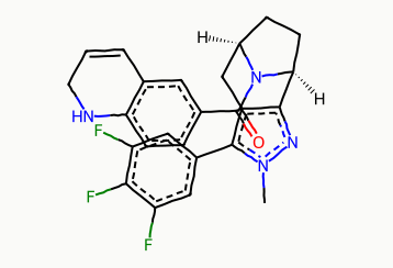 Cn1nc2c(c1-c1cc(F)c(F)c(F)c1)C[C@H]1CC[C@@H]2N1C(=O)c1ccc2c(c1)C=CCN2